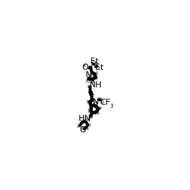 CCN(CC)C(=O)c1ccc(NCC#Cc2cc3cc(CNC4CCOCC4)ccc3n2CC(F)(F)F)cn1